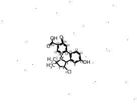 CC1(C)CC(Cl)C2c3cc(O)ccc3-c3cc(=O)c(C(=O)O)cn3N21